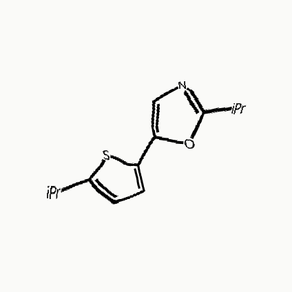 CC(C)c1ncc(-c2ccc(C(C)C)s2)o1